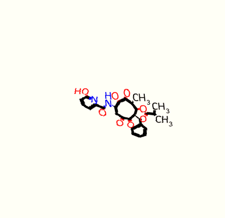 CC(C)C(=O)O[C@@H]1[C@H](C)C(=O)C(=O)[C@@H](NC(=O)c2cccc(O)n2)CC(=O)C(=O)[C@@H]1Cc1ccccc1